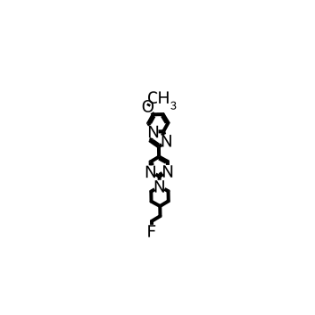 COc1ccc2nc(-c3cnc(N4CCC(CCF)CC4)nc3)cn2c1